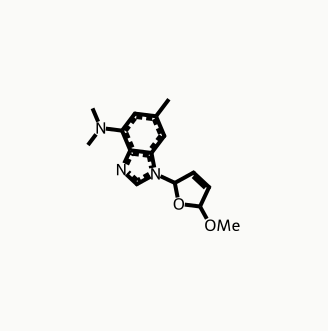 COC1C=CC(n2cnc3c(N(C)C)cc(C)cc32)O1